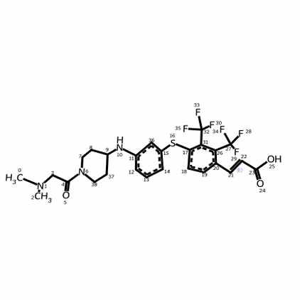 CN(C)CC(=O)N1CCC(Nc2cccc(Sc3ccc(/C=C/C(=O)O)c(C(F)(F)F)c3C(F)(F)F)c2)CC1